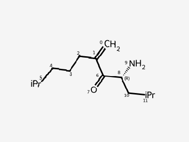 C=C(CCCC(C)C)C(=O)[C@H](N)CC(C)C